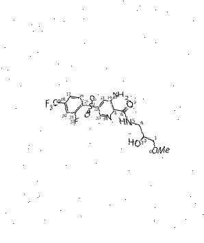 COCC(O)CNC(=O)c1ncc(S(=O)(=O)c2ccc(C(F)(F)F)cc2F)cc1N